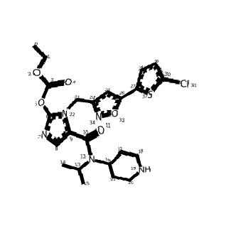 CCOC(=O)Oc1ncc(C(=O)N(C(C)C)C2CCNCC2)n1Cc1cc(-c2ccc(Cl)s2)on1